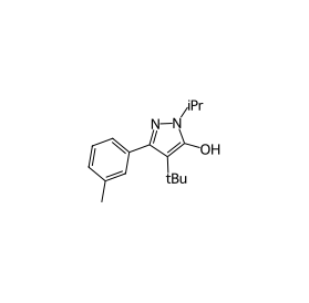 Cc1cccc(-c2nn(C(C)C)c(O)c2C(C)(C)C)c1